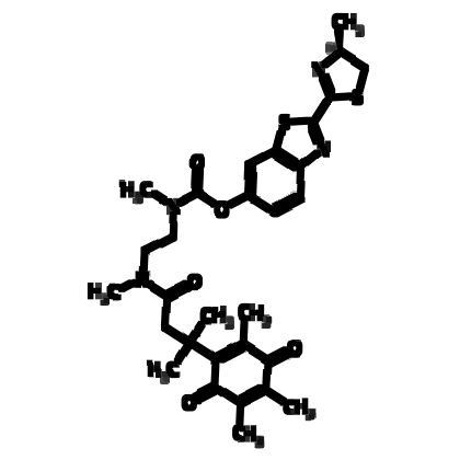 CC1=C(C)C(=O)C(C(C)(C)CC(=O)N(C)CCN(C)C(=O)Oc2ccc3nc(C4=N[C@@H](C)CS4)sc3c2)=C(C)C1=O